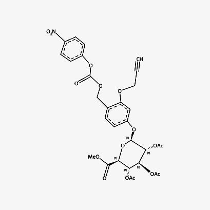 C#CCOc1cc(O[C@@H]2O[C@H](C(=O)OC)[C@@H](OC(C)=O)[C@H](OC(C)=O)[C@H]2OC(C)=O)ccc1COC(=O)Oc1ccc([N+](=O)[O-])cc1